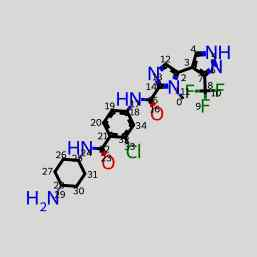 Cn1c(-c2c[nH]nc2C(F)(F)F)cnc1C(=O)Nc1ccc(C(=O)N[C@H]2CC[C@@H](N)CC2)c(Cl)c1